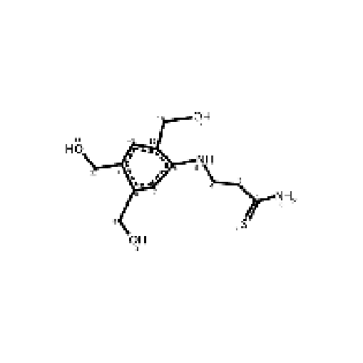 NC(=S)CCNc1cc(CO)c(CO)cc1CO